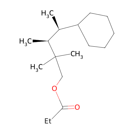 CCC(=O)OCC(C)(C)[C@@H](C)[C@@H](C)C1CCCCC1